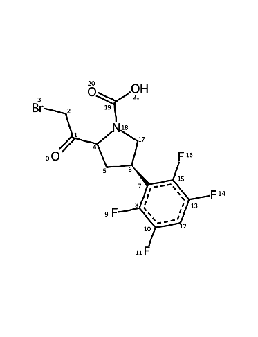 O=C(CBr)C1C[C@H](c2c(F)c(F)cc(F)c2F)CN1C(=O)O